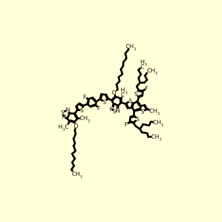 CCCCCCCCCCCCOc1c(C)c(-c2ccc(-c3cc(F)c(-c4ccc(-c5c(OCCCCCCCCCCCC)c(C)c(-c6cc7c(-c8cc(F)c(CC(CCCC)CCCC)s8)c8sc(C)cc8c(-c8cc(F)c(CC(CCCC)CCCC)s8)c7s6)c6nsnc56)s4)cc3F)s2)c2nsnc2c1C